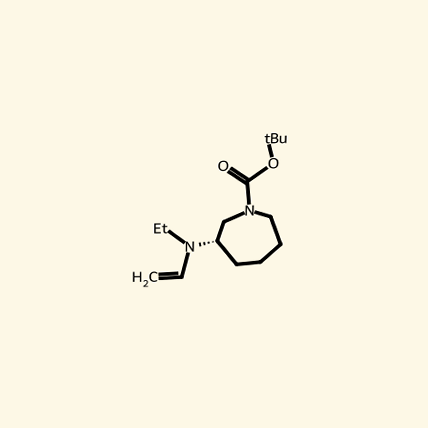 C=CN(CC)[C@H]1CCCCN(C(=O)OC(C)(C)C)C1